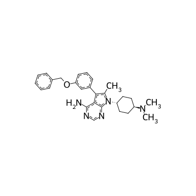 Cc1c(-c2cccc(OCc3ccccc3)c2)c2c(N)ncnc2n1[C@H]1CC[C@H](N(C)C)CC1